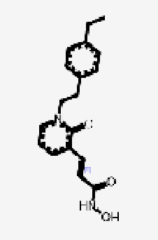 CCc1ccc(CCn2cccc(/C=C/C(=O)NO)c2=O)cc1